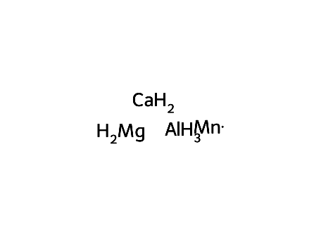 [AlH3].[CaH2].[MgH2].[Mn]